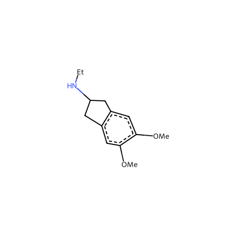 CCNC1Cc2cc(OC)c(OC)cc2C1